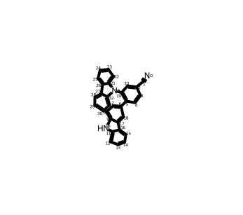 N#Cc1ccc(-c2ccc3[nH]c4ccccc4c3c2)c(-n2c3ccccc3c3ccccc32)c1